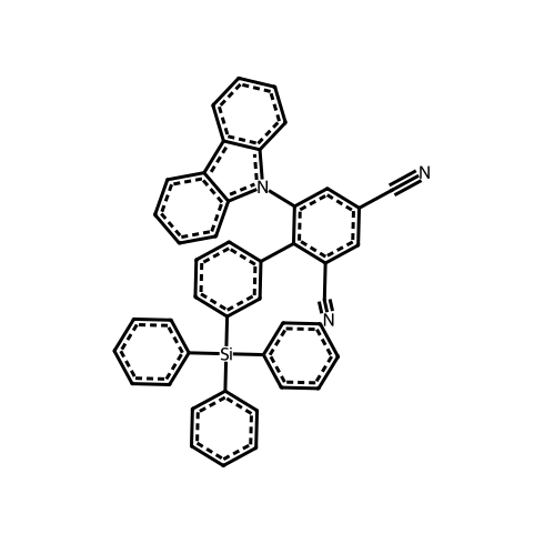 N#Cc1cc(C#N)c(-c2cccc([Si](c3ccccc3)(c3ccccc3)c3ccccc3)c2)c(-n2c3ccccc3c3ccccc32)c1